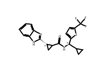 O=C(N[C@@H](c1ccc(C(F)(F)F)s1)C1CC1)C1C[C@@H]1c1nc2ccccc2[nH]1